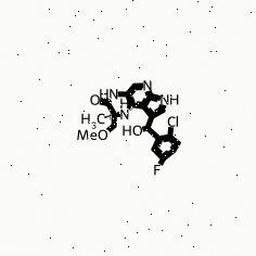 COC[C@]1(C)Nc2c(cnc3[nH]cc(C(O)c4cc(F)ccc4Cl)c23)NC1=O